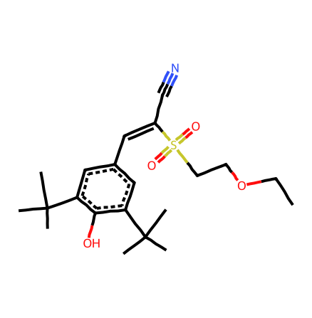 CCOCCS(=O)(=O)C(C#N)=Cc1cc(C(C)(C)C)c(O)c(C(C)(C)C)c1